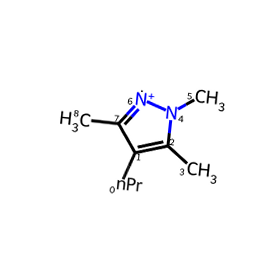 CCCC1=C(C)N(C)[N+]=C1C